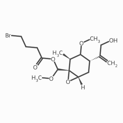 C=C(CO)[C@@H]1C[C@@H]2O[C@]2(C(OC)OC(=O)CCCBr)[C@@H](C)C1OC